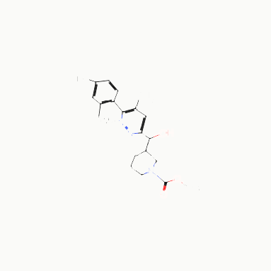 COc1cc(C)ccc1-c1nnc(C(O)C2CCCN(C(=O)OC(C)(C)C)C2)cc1C